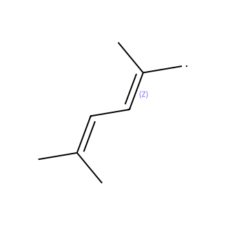 [CH2]/C(C)=C/C=C(C)C